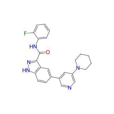 O=C(Nc1ccccc1F)c1n[nH]c2ccc(-c3cncc(N4CCCCC4)c3)cc12